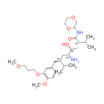 COCCCOc1cc(C[C@@H](C[C@H](N)[C@@H](O)C[C@H](C(=O)NC2COCCO2)C(C)C)C(C)C)ccc1OC